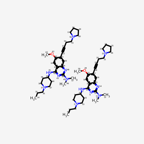 CCCN1CCC(Nc2nc(N(C)C)nc3cc(C#CCCN4CCCC4)c(OC)cc23)CC1.CCCN1CCC(Nc2nc(N(C)C)nc3cc(C#CCCN4CCCC4)c(OC)cc23)CC1